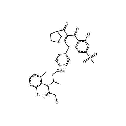 CCc1cccc(C)c1N(C(=O)CCl)C(C)COC.CS(=O)(=O)c1ccc(C(=O)C2=C(Sc3ccccc3)C3CCC(C3)C2=O)c(Cl)c1